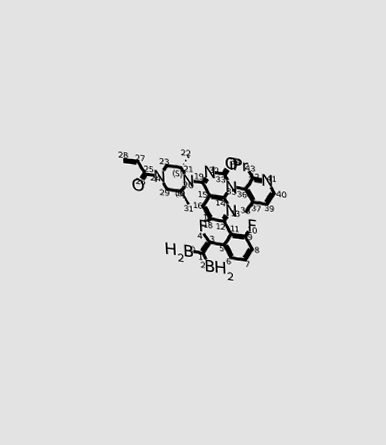 BC(B)=C(C)c1cccc(F)c1-c1nc2c(cc1F)c(N1[C@@H](C)CN(C(=O)C=C)C[C@@H]1C)nc(=O)n2-c1c(C)ccnc1C(C)C